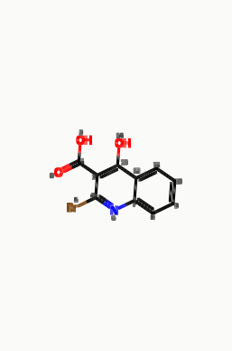 O=C(O)c1c(Br)nc2ccccc2c1O